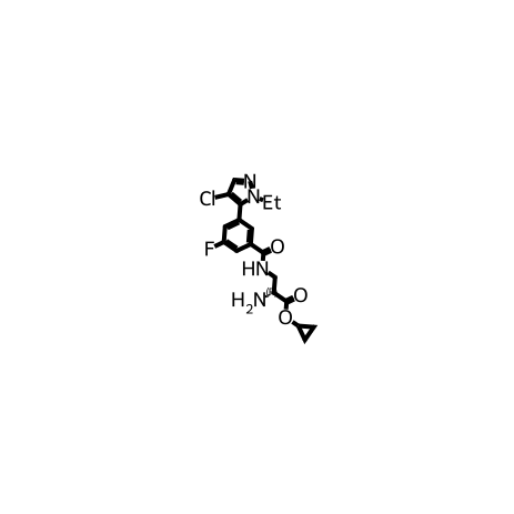 CCn1ncc(Cl)c1-c1cc(F)cc(C(=O)NC[C@@H](N)C(=O)OC2CC2)c1